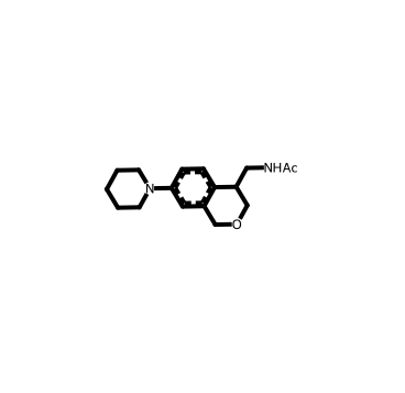 CC(=O)NCC1COCc2cc(N3CCCCC3)ccc21